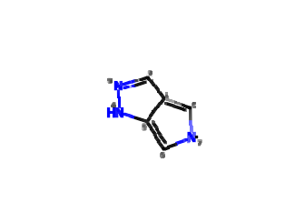 C1=c2cn[nH]c2=C[N]1